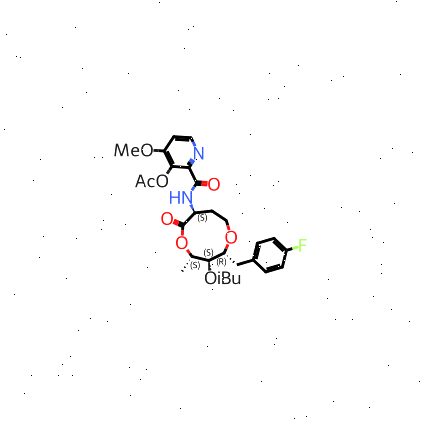 COc1ccnc(C(=O)N[C@H]2CCO[C@H](Cc3ccc(F)cc3)[C@@H](OCC(C)C)[C@H](C)OC2=O)c1OC(C)=O